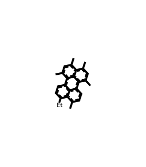 CCc1ccc2c3c(C)cc(C)c4c(C)cc(C)c(c5ccc(C)c1c52)c43